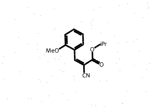 COc1ccccc1C=C(C#N)C(=O)OC(C)C